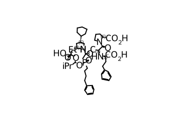 CCC(=O)OC(OP(=O)(CCCCc1ccccc1)CC(=O)N1C[C@H](C2CCCCC2)C[C@H]1C(=O)O)C(C)C.C[C@H](N[C@@H](CCc1ccccc1)C(=O)O)C(=O)N1CCC[C@H]1C(=O)O